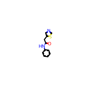 O=C(Cc1cncs1)Nc1ccccc1